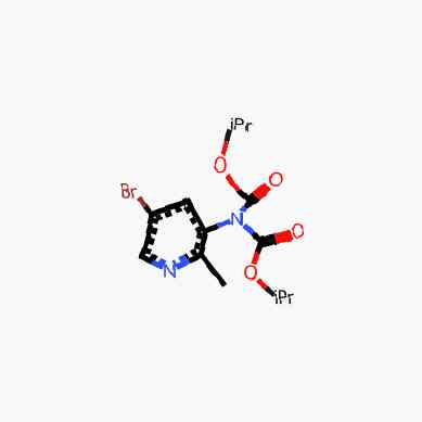 Cc1ncc(Br)cc1N(C(=O)OC(C)C)C(=O)OC(C)C